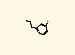 CCCc1cc(F)ccn1